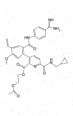 C=Cc1cc(C(=O)Nc2ccc(C(=N)N)cc2)c(-c2ccc(C(=O)NCC3CC3)nc2C(=O)OCCOC(C)=O)cc1OC